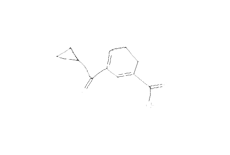 O=C(O)C1=CC(C(=O)C2CC2)=CCC1